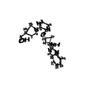 OCC1CCN(c2nccnc2O[C@H]2C[C@H](Nc3ncc4ccccc4n3)C2)CC1